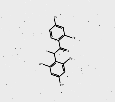 CC(C)c1[c]c(C(C)C)c(C(=O)C(F)c2c(C(C)C)cc(C(C)C)cc2C(C)C)cc1